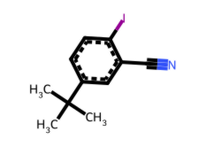 CC(C)(C)c1ccc(I)c(C#N)c1